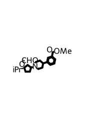 COC(=O)c1cccc(C2CCN(C3CC[C@@](OC=O)(C(C)C)C3)CC2)c1